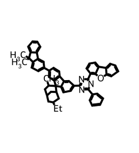 CCC1CC2CC(C)C3(c4ccc(-c5nc(-c6ccccc6)nc(-c6cccc7c6oc6ccccc67)n5)cc4-c4ccc(-c5ccc6c(c5)-c5ccccc5C6(C)C)cc43)C(C1)C2